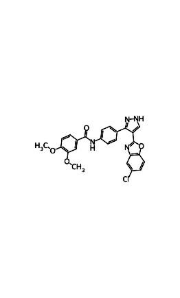 COc1ccc(C(=O)Nc2ccc(-c3n[nH]cc3-c3nc4cc(Cl)ccc4o3)cc2)cc1OC